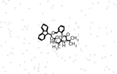 CC(C)[C@H](NC(=O)[C@H](C)NC(=O)OCC1c2ccccc2-c2ccccc21)C(=O)Sc1ccccc1C=O